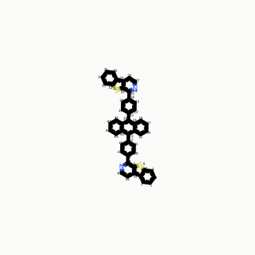 c1ccc2c(c1)sc1c(-c3ccc(-c4c5ccccc5c(-c5ccc(-c6nccc7c6sc6ccccc67)cc5)c5ccccc45)cc3)nccc12